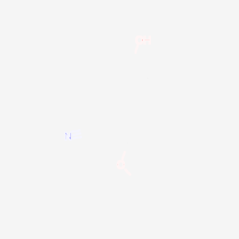 [CH2]C(CO)c1ccc(OC(C)C)c(C#N)c1